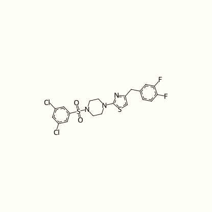 O=S(=O)(c1cc(Cl)cc(Cl)c1)N1CCN(c2nc(Cc3ccc(F)c(F)c3)cs2)CC1